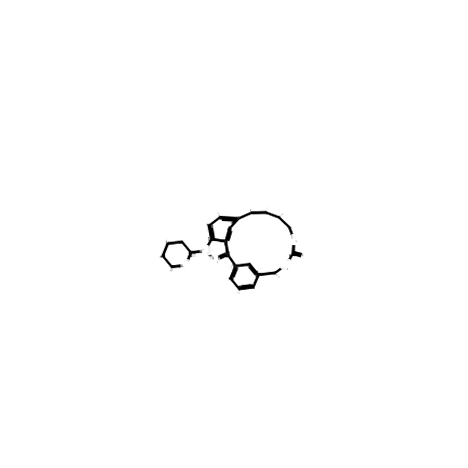 O=C1NCCCCc2ccc3c(c2)c(nn3C2CCCCO2)-c2cccc(c2)CO1